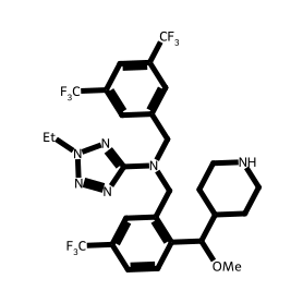 CCn1nnc(N(Cc2cc(C(F)(F)F)cc(C(F)(F)F)c2)Cc2cc(C(F)(F)F)ccc2C(OC)C2CCNCC2)n1